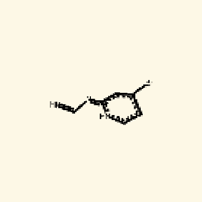 N=C/N=c1/cc(Br)cc[nH]1